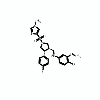 Cn1cnc(S(=O)(=O)N2C[C@@H](CNc3ccc(Cl)c(OC(F)(F)F)c3)[C@H](c3ccc(F)cc3)C2)c1